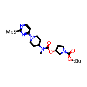 CSc1nccc(N2CCC(N(C)C(=O)O[C@H]3CCN(C(=O)OC(C)(C)C)C3)CC2)n1